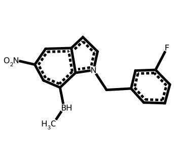 CBc1cc([N+](=O)[O-])cc2ccn(Cc3cccc(F)c3)c12